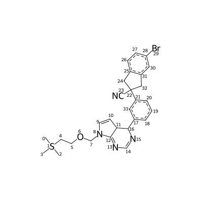 CS(C)(C)CCOCN1C=CC2C1=NC=NC2c1cccc(C2(C#N)Cc3ccc(Br)cc3C2)c1